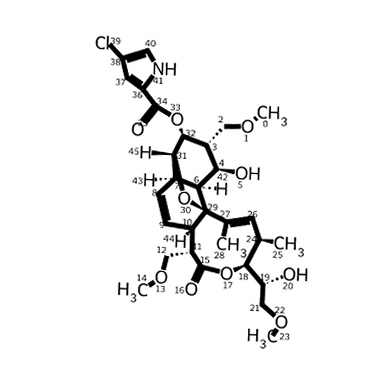 COC[C@@H]1[C@@H](O)[C@@H]2[C@H]3C=C[C@@H]4[C@@H](COC)C(=O)O[C@H]([C@H](O)COC)[C@H](C)/C=C(\C)[C@@]24O[C@H]3[C@@H]1OC(=O)c1cc(Cl)c[nH]1